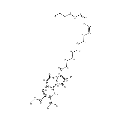 CCCCC/C=C\C/C=C\CCCCCCCCOc1c2ncnc(SC(C(=O)OCC)C(C)C)c2nn1C